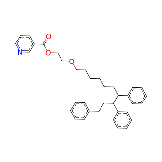 O=C(OCCOCCCCCCC(c1ccccc1)C(CCc1ccccc1)c1ccccc1)c1cccnc1